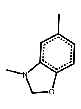 Cc1ccc2c(c1)N(C)CO2